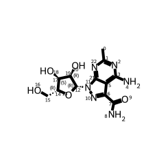 Cc1nc(N)c2c(C(N)=O)nn([C@@H]3O[C@H](CO)[C@@H](O)[C@H]3O)c2n1